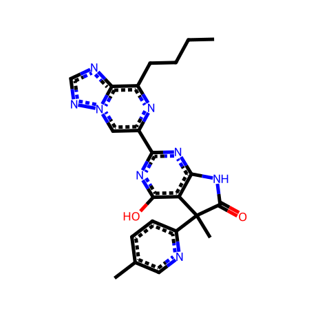 CCCCc1nc(-c2nc(O)c3c(n2)NC(=O)C3(C)c2ccc(C)cn2)cn2ncnc12